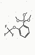 CO[Si](OC)(OC)c1ccccc1OC(F)(F)F